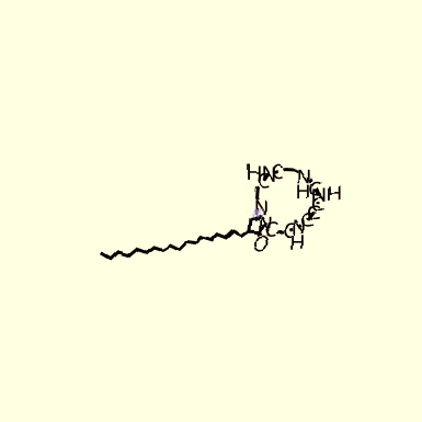 CCCCCCCCCCCCCCCC=CCC1C/C2=N\CCCNCCCNCCNCCCNCCCN2C1=O